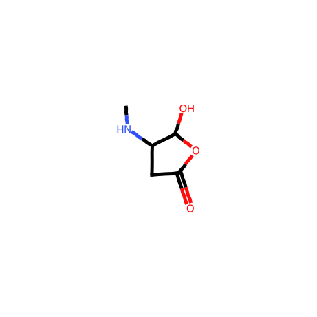 CNC1CC(=O)OC1O